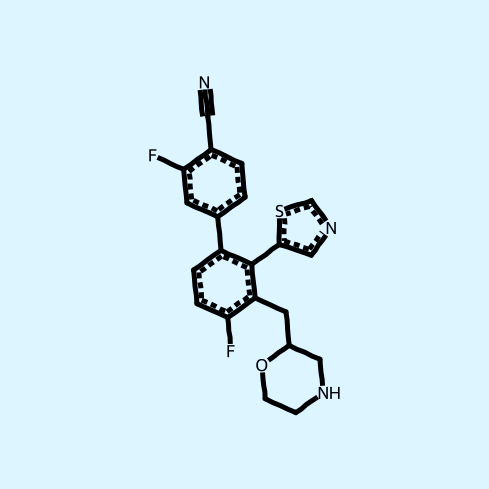 N#Cc1ccc(-c2ccc(F)c(CC3CNCCO3)c2-c2cncs2)cc1F